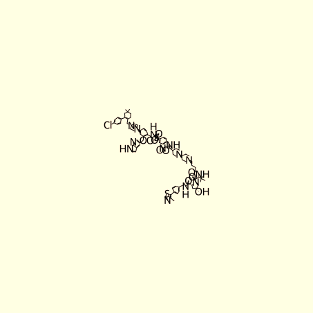 Cc1ncsc1-c1ccc(CNC(=O)[C@@H]2C[C@@H](O)CN2C(=O)[C@@H](NC(=O)CCCN2CCC(N3CCC(CNc4ccc(S(=O)(=O)NC(=O)c5ccc(N6CCN(CC7=C(c8ccc(Cl)cc8)CC(C)(C)CC7)CC6)cc5Oc5cnc6[nH]ccc6c5)cc4[N+](=O)[O-])CC3)CC2)C(C)(C)C)cc1